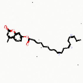 CC/C=C\C/C=C\C/C=C\CCCCCCCC(=O)Oc1ccc2c(C)cc(=O)oc2c1